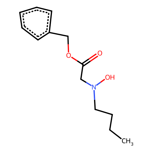 CCCCN(O)CC(=O)OCc1ccccc1